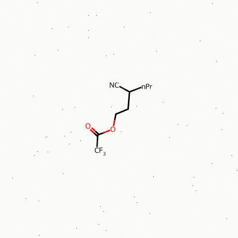 CCCC(C#N)CCOC(=O)C(F)(F)F